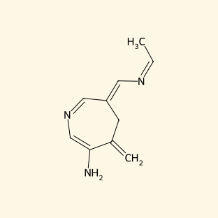 C=C1C/C(=C\N=C/C)C=NC=C1N